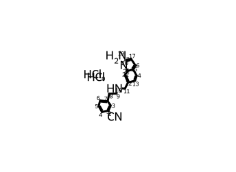 Cl.Cl.N#Cc1cccc(CCNCc2ccc3ccc(N)nc3c2)c1